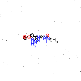 CCNC(=O)NCC1CC(n2cc(-c3cccc(OCC45CCC(CC4)O5)c3)c3c(N)ncnc32)C1